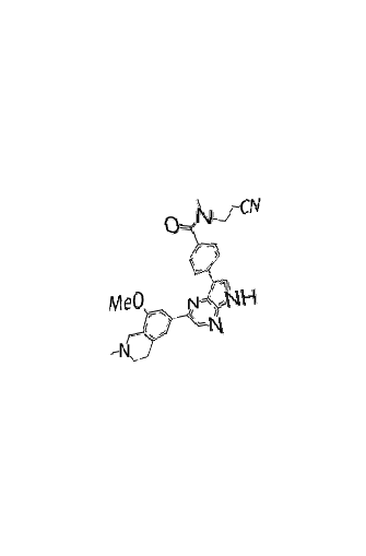 COc1cc(-c2cnc3[nH]cc(-c4ccc(C(=O)N(C)CCC#N)cc4)c3n2)cc2c1CN(C)CC2